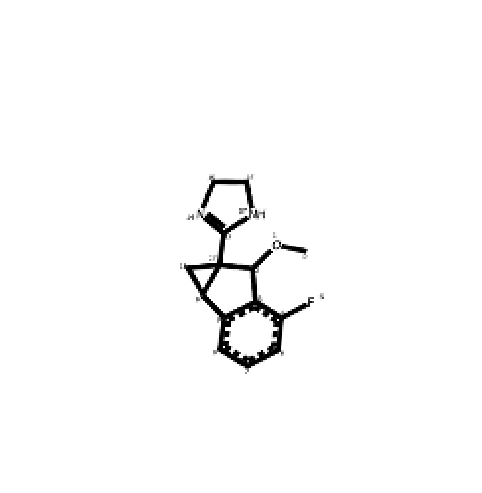 COC1c2c(F)cccc2C2CC21C1=NCCN1